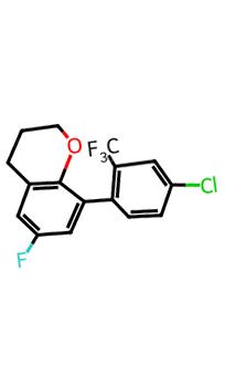 Fc1cc2c(c(-c3ccc(Cl)cc3C(F)(F)F)c1)OCCC2